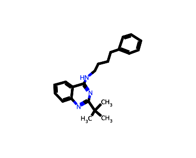 CC(C)(C)c1nc(NCCCCc2ccccc2)c2ccccc2n1